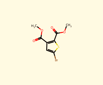 COC(=O)c1cc(Br)sc1C(=O)OC